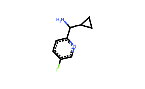 NC(c1ccc(F)cn1)C1CC1